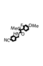 COc1ccc(C(OC)C(=O)NCc2ccc(C#N)cc2)c(F)c1